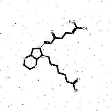 CC(C)=CCCC(=O)C=C[C@H]1CC2OCCOC2[C@@H]1CCCCCCC(=O)O